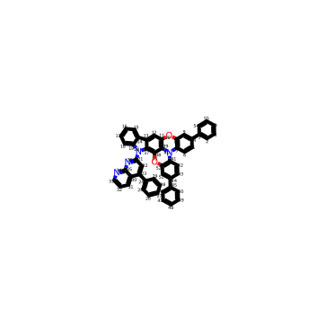 c1ccc(-c2ccc3c(c2)Oc2cc4c5ccccc5n(-c5cc(-c6ccccc6)c6cccnc6n5)c4c4c2N3c2ccc(-c3ccccc3)cc2O4)cc1